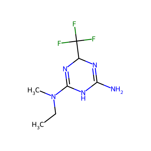 CCN(C)C1=NC(C(F)(F)F)N=C(N)N1